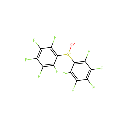 [O-][S+](c1c(F)c(F)c(F)c(F)c1F)c1c(F)c(F)c(F)c(F)c1F